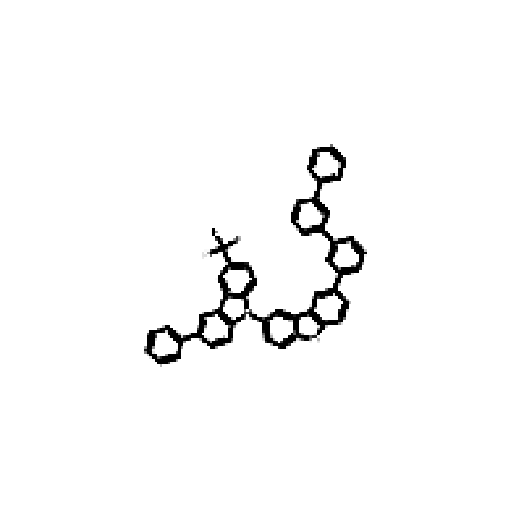 FC(F)(F)c1ccc2c(c1)c1cc(-c3ccccc3)ccc1n2-c1ccc2oc3ccc(-c4cccc(-c5cccc(-c6ccccc6)c5)c4)cc3c2c1